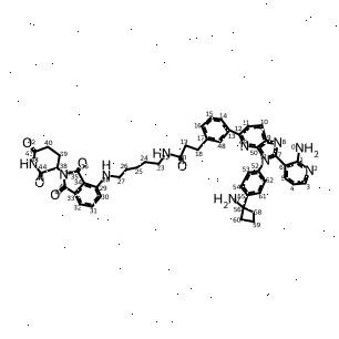 Nc1ncccc1-c1nc2ccc(-c3cccc(CCC(=O)NCCCCCNc4cccc5c4C(=O)N(C4CCC(=O)NC4=O)C5=O)c3)nc2n1-c1ccc(C2(N)CCC2)cc1